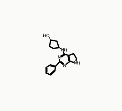 O[C@H]1CC[C@@H](Nc2nc(-c3ccccc3)nc3c2CCN3)C1